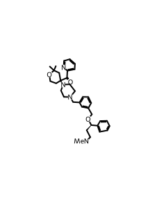 CNCC[C@@H](OCc1cccc(CN2CCN(C3(C(=O)c4ccccn4)CCOC(C)(C)C3)CC2)c1)c1ccccc1